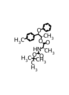 Cc1ccc([C@@H](Oc2ccccc2)[C@H](C)OC(=O)[C@H](C)NC(=O)OC(C)(C)C)cc1